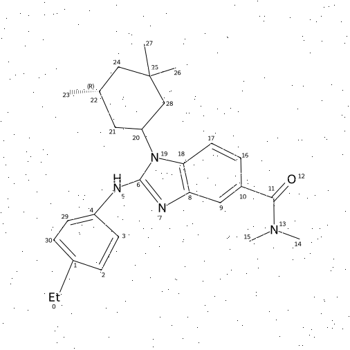 CCc1ccc(Nc2nc3cc(C(=O)N(C)C)ccc3n2C2C[C@H](C)CC(C)(C)C2)cc1